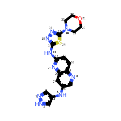 c1n[nH]cc1Nc1cnc2ccc(Nc3nnc(N4CCOCC4)s3)nc2c1